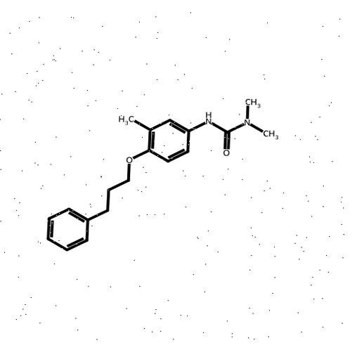 Cc1cc(NC(=O)N(C)C)ccc1OCCCc1ccccc1